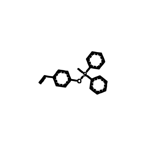 C=Cc1ccc(O[Si](C)(c2ccccc2)c2ccccc2)cc1